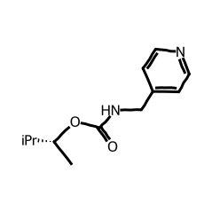 CC(C)[C@@H](C)OC(=O)NCc1ccncc1